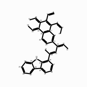 C=Cc1c(/C=C\C)c2cc(C(=C/C)/C=C(\C)c3cccc4c3sc3ccccc34)ccc2c(=C/C)/c1=C\C